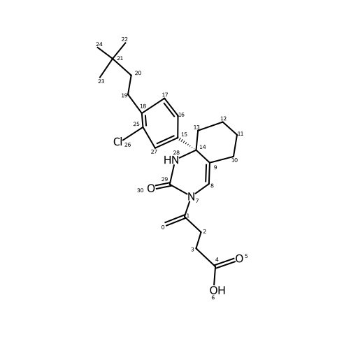 C=C(CCC(=O)O)N1C=C2CCCC[C@]2(c2ccc(CCC(C)(C)C)c(Cl)c2)NC1=O